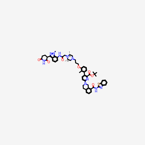 Cc1c(OCCCN2C[C@@H](C)N(CC(=O)Nc3cccc4c(C5CCC(=O)NC5=O)nn(C)c34)[C@@H](C)C2)cccc1-c1ccc(N2CCc3cccc(C(=O)Nc4nc5ccccc5s4)c3C2)nc1C(=O)OC(C)(C)C